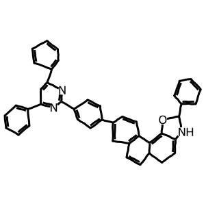 C1=CC2CC=C3NC(c4ccccc4)OC3=C2c2ccc(-c3ccc(-c4nc(-c5ccccc5)cc(-c5ccccc5)n4)cc3)cc21